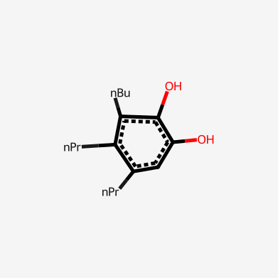 CCCCc1c(O)c(O)cc(CCC)c1CCC